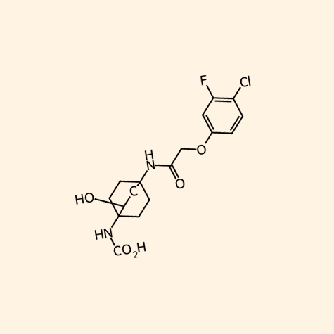 O=C(O)NC12CCC(NC(=O)COc3ccc(Cl)c(F)c3)(CC1)CC2O